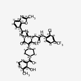 CCc1c(N2CCN(C(=O)c3ncnc(C)c3O)CC2)c(=O)n2nc(-c3cccc4nc(C)oc34)nc2n1CC(=O)Nc1ccc(C(F)(F)F)cc1Cl